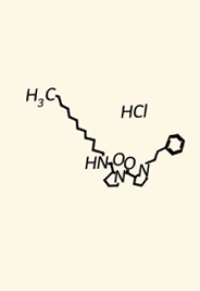 CCCCCCCCCCCCNC(=O)C1CCCN1C(=O)C1CCCN1CCCc1ccccc1.Cl